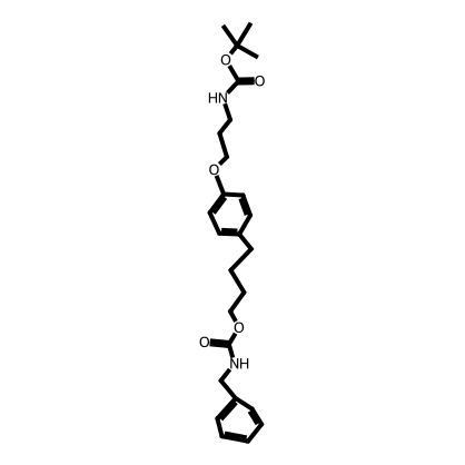 CC(C)(C)OC(=O)NCCCOc1ccc(CCCCOC(=O)NCc2ccccc2)cc1